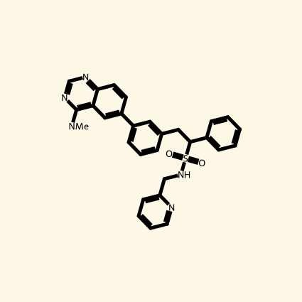 CNc1ncnc2ccc(-c3cccc(CC(c4ccccc4)S(=O)(=O)NCc4ccccn4)c3)cc12